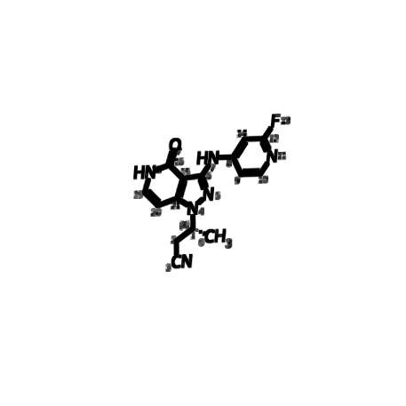 C[C@H](CC#N)n1nc(Nc2ccnc(F)c2)c2c(=O)[nH]ccc21